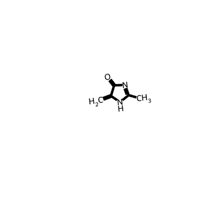 C=C1NC(C)=NC1=O